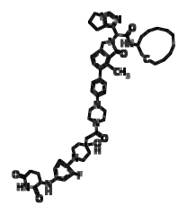 Cc1c(-c2ccc(N3CCN(C(=O)CC4(O)CCN(c5ccc(NC6CCC(=O)NC6=O)cc5F)CC4)CC3)cc2)ccc2c1C(=O)N(C(C(=O)NC1CCCCCCCCCCC1)c1ncn3c1CCC3)C2